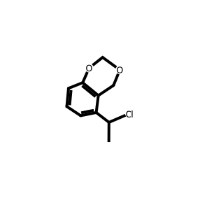 CC(Cl)c1cccc2c1COCO2